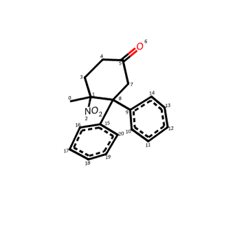 CC1([N+](=O)[O-])CCC(=O)CC1(c1ccccc1)c1ccccc1